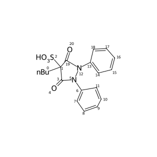 CCCCC1(S(=O)(=O)O)C(=O)N(c2ccccc2)N(c2ccccc2)C1=O